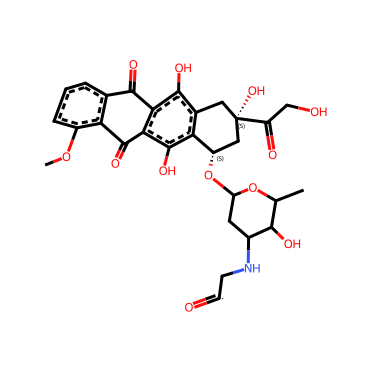 COc1cccc2c1C(=O)c1c(O)c3c(c(O)c1C2=O)C[C@@](O)(C(=O)CO)C[C@@H]3OC1CC(NC[C]=O)C(O)C(C)O1